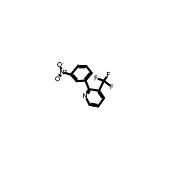 O=[N+]([O-])c1[c]ccc(-c2ncccc2C(F)(F)F)c1